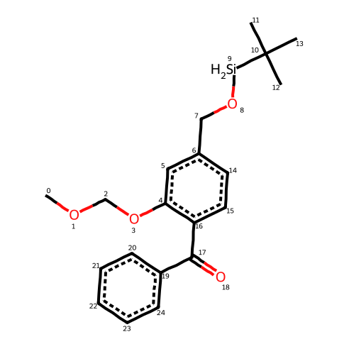 COCOc1cc(CO[SiH2]C(C)(C)C)ccc1C(=O)c1ccccc1